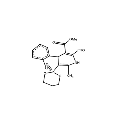 COC(=O)C1=C(C=O)NC(C)=C(P2(=O)OCCCO2)C1c1ccccc1C(F)(F)F